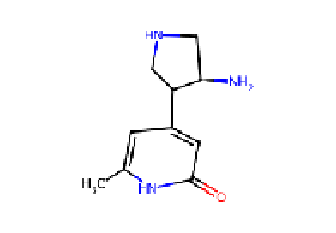 Cc1cc(C2CNC[C@H]2N)cc(=O)[nH]1